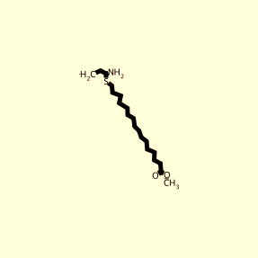 [CH2]CC(N)SCCCCCCCCCCCCCCCC(=O)OC